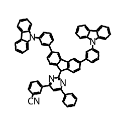 N#Cc1cccc(-c2cc(-c3ccccc3)nc(C3c4ccc(-c5cccc(-n6c7ccccc7c7ccccc76)c5)cc4-c4cc(-c5cccc(-n6c7ccccc7c7ccccc76)c5)ccc43)n2)c1